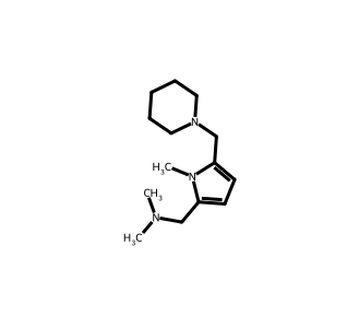 CN(C)Cc1ccc(CN2CCCCC2)n1C